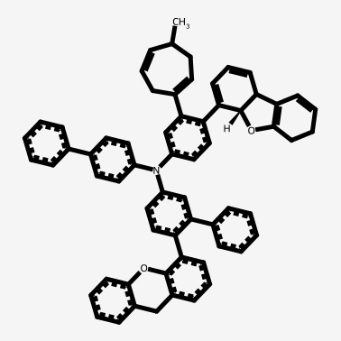 CC1C=CCC(c2cc(N(c3ccc(-c4ccccc4)cc3)c3ccc(-c4cccc5c4Oc4ccccc4C5)c(-c4ccccc4)c3)ccc2C2=CC=CC3C4=C(CCC=C4)O[C@H]23)=CC1